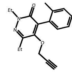 C#CCOc1c(CC)nn(CC)c(=O)c1-c1ccccc1C